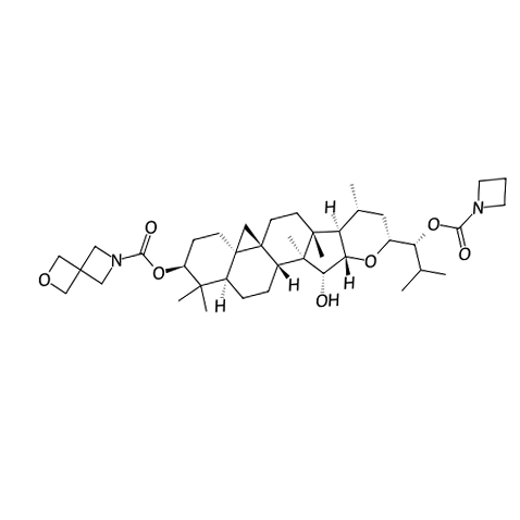 CC(C)[C@@H](OC(=O)N1CCC1)[C@H]1C[C@@H](C)[C@H]2[C@H](O1)[C@H](O)[C@@]1(C)[C@@H]3CC[C@H]4C(C)(C)[C@@H](OC(=O)N5CC6(COC6)C5)CC[C@@]45C[C@@]35CC[C@]21C